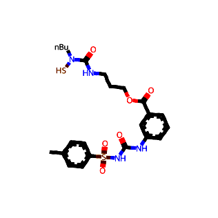 CCCCN(S)C(=O)NCCCOC(=O)c1cccc(NC(=O)NS(=O)(=O)c2ccc(C)cc2)c1